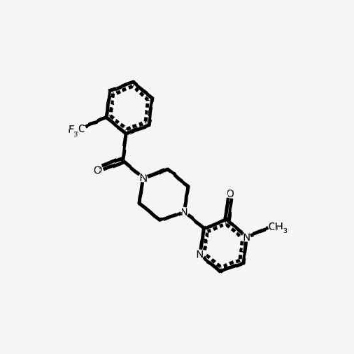 Cn1ccnc(N2CCN(C(=O)c3ccccc3C(F)(F)F)CC2)c1=O